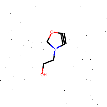 OCCN1C#COC1